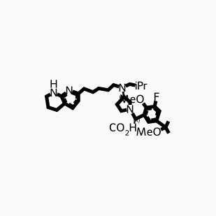 COc1c(F)cc(C(C)(C)OC)cc1[C@H](C(=O)O)N1CC[C@@H](N(CCCCCc2ccc3c(n2)NCCC3)CC(C)C)C1